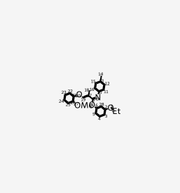 CCOc1cccc(OC(=Nc2ccc(C)cc2)C(C)=COc2ccccc2OC)c1